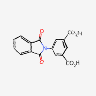 O=C(O)c1cc(C(=O)O)cc(N2C(=O)c3ccccc3C2=O)c1